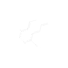 C=C/C=c1/c(N)ncn/c1=C/C